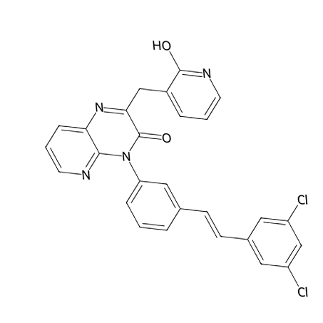 O=c1c(Cc2cccnc2O)nc2cccnc2n1-c1cccc(/C=C/c2cc(Cl)cc(Cl)c2)c1